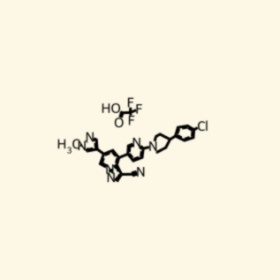 Cn1cc(-c2cc(-c3ccc(N4CCC(c5ccc(Cl)cc5)CC4)nc3)c3c(C#N)cnn3c2)cn1.O=C(O)C(F)(F)F